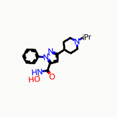 CC(C)N1CCC(c2cc(C(=O)NO)n(-c3ccccc3)n2)CC1